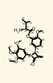 C=C1C(=O)N(c2cc(OC)c(OC)c(OC)c2)[C@H]1c1ccc(OC)c(OC(=O)[C@@H](N)C(C)C)c1